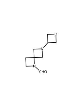 O=CN1CCC12CN(C1COC1)C2